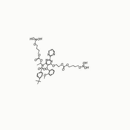 COc1ccccc1Oc1c(OCCOC(=O)OCCCCON(O)O)nc(-c2ncccn2)nc1N(C(C)OC(=O)OCCCCON(O)O)S(=O)(=O)c1ccc(C(C)(C)C)cc1